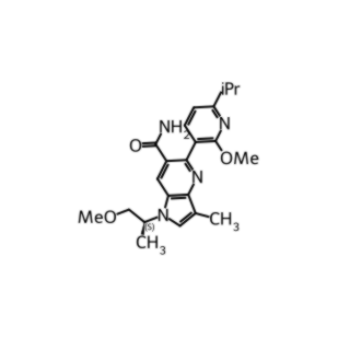 COC[C@H](C)n1cc(C)c2nc(-c3ccc(C(C)C)nc3OC)c(C(N)=O)cc21